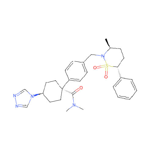 C[C@H]1CC[C@H](c2ccccc2)S(=O)(=O)N1Cc1ccc([C@]2(C(=O)N(C)C)CC[C@H](n3cnnc3)CC2)cc1